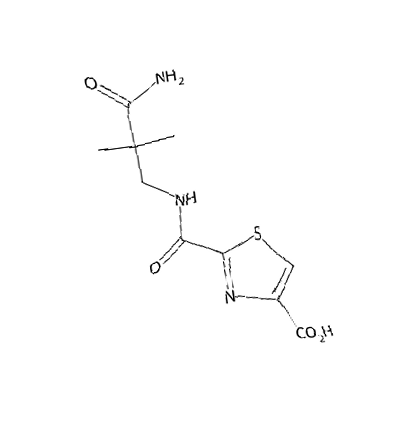 CC(C)(CNC(=O)c1nc(C(=O)O)cs1)C(N)=O